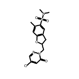 Cc1cc2c(cc1S(=O)(=O)N(C)C)CC(Cn1ncc(Cl)cc1=O)O2